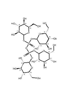 O=P(OC1O[C@H](CO)[C@H](O)[C@@H](O)[C@@H]1O)(OC1O[C@H](CO)[C@H](O)[C@@H](O)[C@@H]1O)OP(=O)(OC1O[C@H](CO)[C@H](O)[C@@H](O)[C@@H]1O)OC1O[C@H](CO)[C@H](O)[C@@H](O)[C@@H]1O